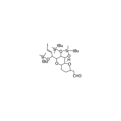 CC(C)(C)[Si](C)(C)OC(/C=C/I)C1OC2CCC(CC=O)O[C@@H]2C(O[Si](C)(C)C(C)(C)C)C1O[Si](C)(C)C(C)(C)C